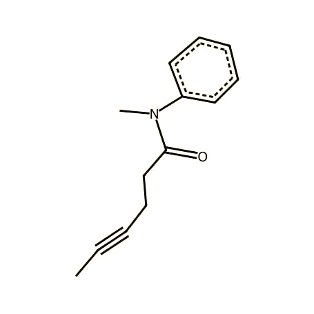 CC#CCCC(=O)N(C)c1ccccc1